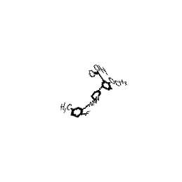 COc1ccc(-c2ccc(NCc3cc(C)ccc3F)nc2)cc1C(=O)O